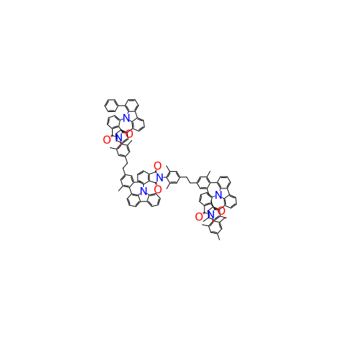 Cc1cc(C)c(-c2cccc3c4cccc(-c5c(C)cc(CCc6cc(C)c(N7C(=O)c8cccc(-n9c%10ccccc%10c%10cccc(-c%11c(C)cc(CCc%12cc(C)c(N%13C(=O)c%14cccc(-n%15c%16c(-c%17ccccc%17)cccc%16c%16cccc(-c%17ccccc%17)c%16%15)c%14C%13=O)c(C)c%12)cc%11C)c%109)c8C7=O)c(C)c6)cc5C)c4n(-c4cccc5c4C(=O)N(c4c(C)cc(C)cc4C)C5=O)c23)c(C)c1